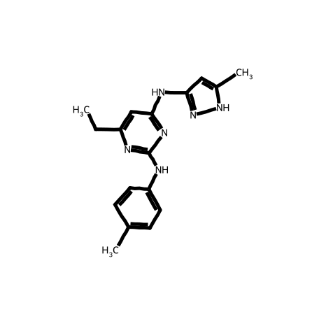 CCc1cc(Nc2cc(C)[nH]n2)nc(Nc2ccc(C)cc2)n1